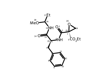 CCOC(=O)[C@@]1(C(=O)N[C@@H](Cc2ccccc2)C(=O)NC(CC)OC)CO1